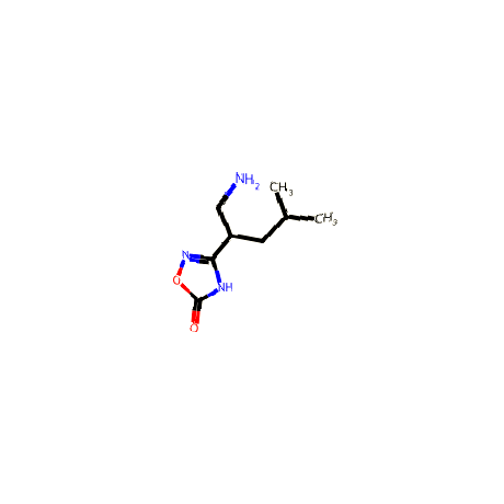 CC(C)CC(CN)c1noc(=O)[nH]1